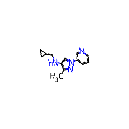 Cc1nn(-c2cccnc2)cc1NCC1CC1